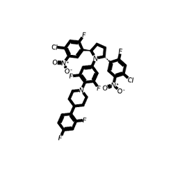 O=[N+]([O-])c1cc([C@H]2CC[C@H](c3cc([N+](=O)[O-])c(Cl)cc3F)N2c2cc(F)c(N3CCC(c4ccc(F)cc4F)CC3)c(F)c2)c(F)cc1Cl